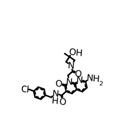 CC1(O)CN(C(=O)Cn2c(=O)c(C(=O)NCc3ccc(Cl)cc3)cc3ccc(N)nc32)C1